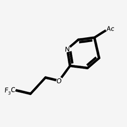 CC(=O)c1ccc(OCCC(F)(F)F)nc1